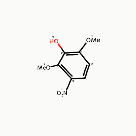 COc1ccc([N+](=O)[O-])c(OC)c1O